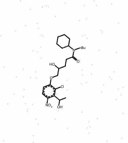 CCCCN(C(=O)CCC(O)COc1ccc([N+](=O)[O-])c(C(C)O)c1Cl)C1CCCCC1